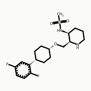 CS(=O)(=O)N[C@H]1CCCN[C@H]1CO[C@H]1CC[C@@H](c2cc(F)ccc2F)CC1